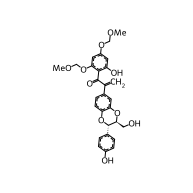 C=C(C(=O)c1c(O)cc(OCOC)cc1OCOC)c1ccc2c(c1)O[C@@H](CO)[C@H](c1ccc(O)cc1)O2